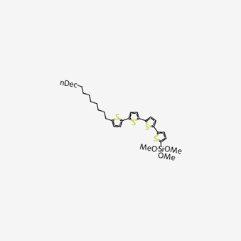 CCCCCCCCCCCCCCCCCCc1ccc(-c2ccc(-c3ccc(-c4ccc([Si](OC)(OC)OC)s4)s3)s2)s1